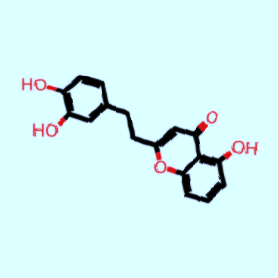 O=c1cc(CCc2ccc(O)c(O)c2)oc2cccc(O)c12